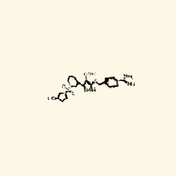 COc1c(C2CCCN(S(=O)(=O)N3CCC(O)C3)C2)n[nH]c1SCc1ccc(C(=N)N)cc1